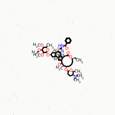 CC[C@H]1CCC[C@H](OC2CC[C@H](N(C)C)C(C)O2)[C@@H](C)C(=O)C2=C[C@H]3[C@@H]4C[C@H](O[C@@H]5OC(C)[C@H](OC)C(OC)C5OC)C[C@H]4c4sc(NC(=O)c5ccccc5)nc4[C@H]3[C@@H]2CC(=O)O1